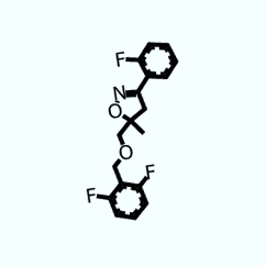 CC1(COCc2c(F)cccc2F)CC(c2ccccc2F)=NO1